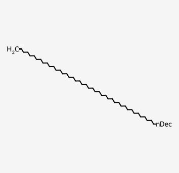 C=CCCCCCCCCCCCCCCCCCCCCCCCCCCCCCCCCCCCCCCCCCCCCCCCCCCC